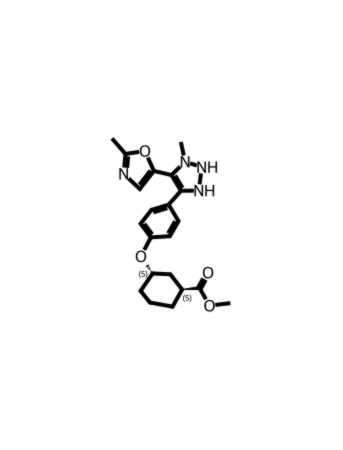 COC(=O)[C@H]1CCC[C@H](Oc2ccc(C3=C(c4cnc(C)o4)N(C)NN3)cc2)C1